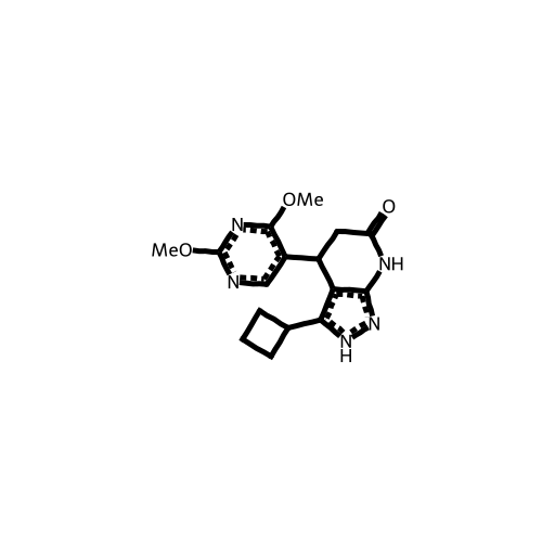 COc1ncc(C2CC(=O)Nc3n[nH]c(C4CCC4)c32)c(OC)n1